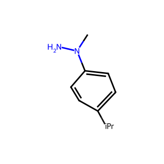 CC(C)c1ccc(N(C)N)cc1